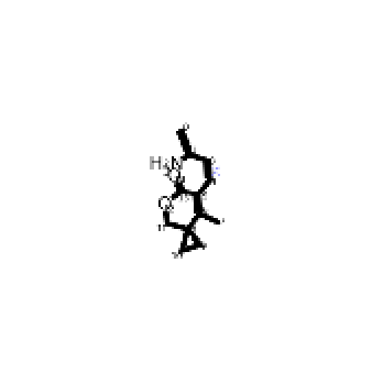 C=C(N)/C=C\C1=C(C)C2(CC2)COC1=O